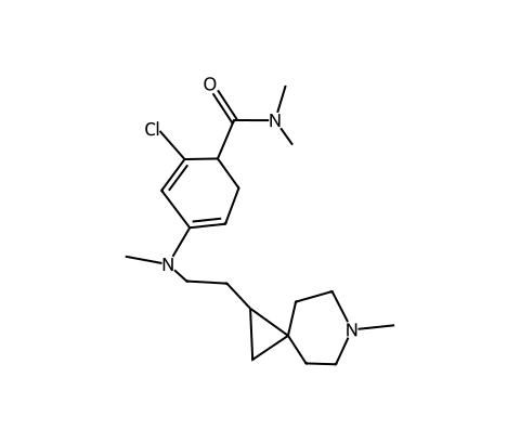 CN1CCC2(CC1)CC2CCN(C)C1=CCC(C(=O)N(C)C)C(Cl)=C1